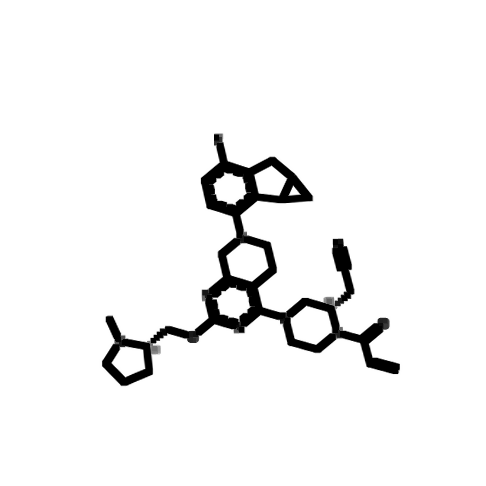 C=CC(=O)N1CCN(c2nc(OC[C@@H]3CCCN3C)nc3c2CCN(c2ccc(F)c4c2C2CC2C4)C3)C[C@@H]1CC#N